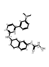 CN(C)c1cccc(-c2ccnc(NC3CCc4ccc(OC(=O)NO)cc4C3)n2)c1